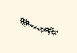 O=C1CCC(N2C(=O)c3ccc(N4CCN(CCOCCOCCOc5cccc(C(=O)C6C(=O)CCCC6=O)c5Cl)CC4)cc3C2=O)C(=O)N1